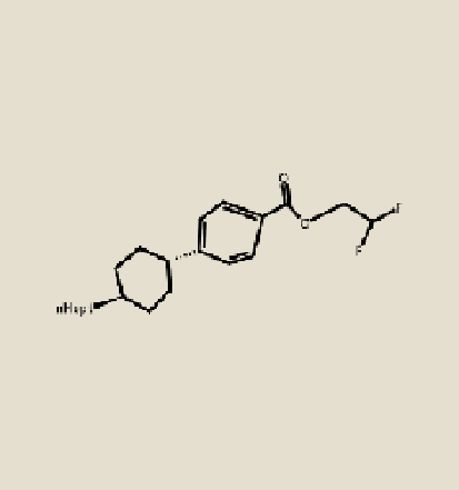 CCCCCCC[C@H]1CC[C@H](c2ccc(C(=O)OCC(F)F)cc2)CC1